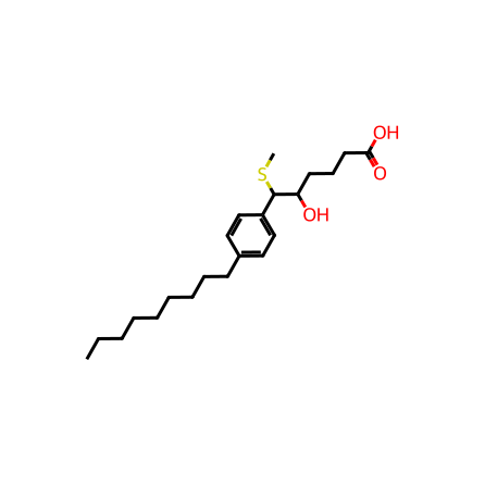 CCCCCCCCCc1ccc(C(SC)C(O)CCCC(=O)O)cc1